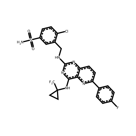 NS(=O)(=O)c1ccc(Cl)c(CNc2nc(NC3(C(F)(F)F)CC3)c3nc(-c4ccc(F)cc4)ccc3n2)c1